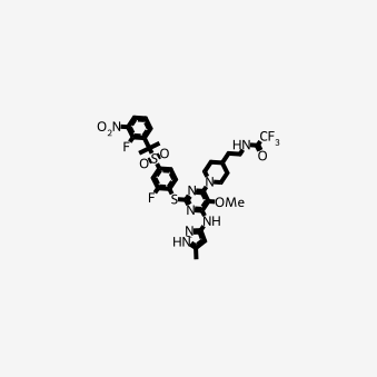 COc1c(Nc2cc(C)[nH]n2)nc(Sc2ccc(S(=O)(=O)C(C)(C)c3cccc([N+](=O)[O-])c3F)cc2F)nc1N1CCC(CCNC(=O)C(F)(F)F)CC1